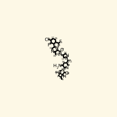 C=C1C[C@@H]2CN(c3ncc([C@H](C)n4cc(NC(=O)c5nc(-c6c(C(F)F)ccc(Cl)c6F)cnc5C)cn4)cc3N)C(=O)[C@H]12